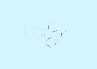 CC(=S)C=C(C(=O)NCN1CCOCC1)c1ccccn1